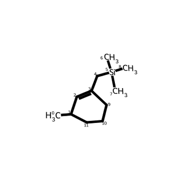 CC1C=C(C[Si](C)(C)C)CCC1